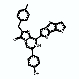 Cc1ccc(Cc2nc3c(-c4cc5sc6ccsc6c5s4)[nH]c(-c4ccc(O)cc4)cn-3c2=O)cc1